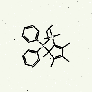 CCC[Si](c1ccccc1)(c1ccccc1)C1(C)C(C)=C(C)C(C)=[C]1[Ti]([CH3])([CH3])[CH3]